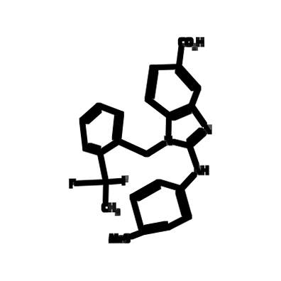 CSc1ccc(Nc2nc3cc(C(=O)O)ccc3n2Cc2ccccc2C(C)(F)F)cc1